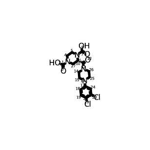 O=C(O)N1CCN(C(=O)O)[C@@H](C(=O)N2CCN(c3ccc(Cl)c(Cl)c3)CC2)C1